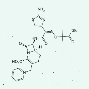 CC(C)(C)C(=O)C(C)(C)O/N=C(\C(=O)N[C@@H]1C(=O)N2C(C(=O)O)=C(C[n+]3ccccc3)CS[C@H]12)c1csc(N)n1